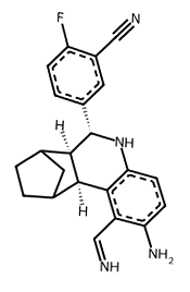 N#Cc1cc([C@@H]2Nc3ccc(N)c(C=N)c3[C@H]3C4CCC(C4)[C@@H]23)ccc1F